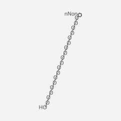 CCCCCCCCCc1ccccc1OCCOCCOCCOCCOCCOCCOCCOCCOCCOCCOCCOCCOCCOCCOCCOCCOCCOCCO